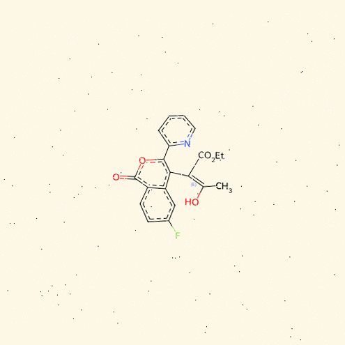 CCOC(=O)/C(=C(\C)O)c1c(-c2ccccn2)oc(=O)c2ccc(F)cc12